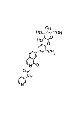 Cc1cc(-c2ccc3ccn(CC(=O)Nc4cccnc4)c(=O)c3c2)ccc1OC1OC(CO)C(O)C(O)C1O